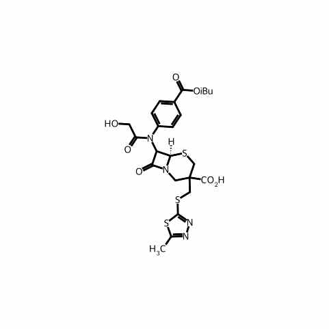 Cc1nnc(SCC2(C(=O)O)CS[C@@H]3C(N(C(=O)CO)c4ccc(C(=O)OCC(C)C)cc4)C(=O)N3C2)s1